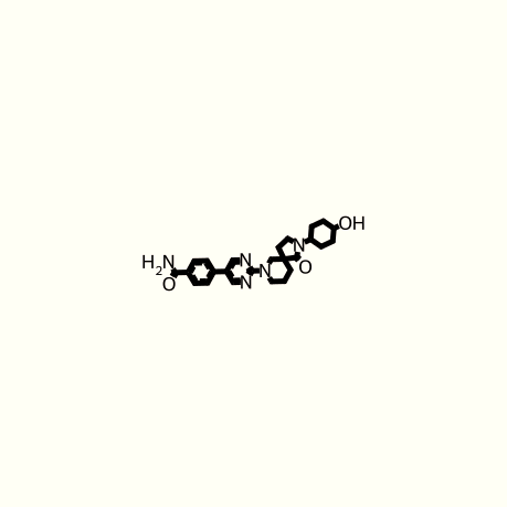 NC(=O)c1ccc(-c2cnc(N3CCCC4(CCN(C5CCC(O)CC5)C4=O)C3)nc2)cc1